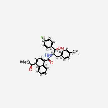 COC(=O)c1ccc(C(=O)NC(Cc2ccc(C(F)(F)F)cc2)C(O)c2ccc(F)cc2)c2ccccc12